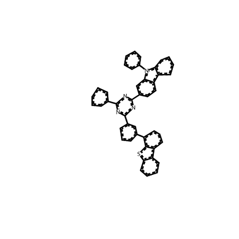 c1ccc(-c2nc(-c3cccc(-c4cccc5c4sc4ccccc45)c3)nc(-c3ccc4c5ccccc5n(-c5ccccc5)c4c3)n2)cc1